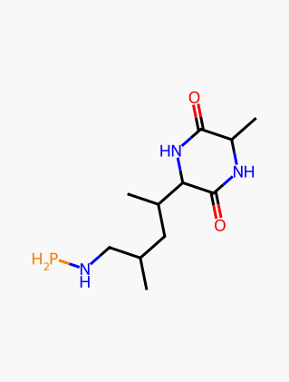 CC(CNP)CC(C)C1NC(=O)C(C)NC1=O